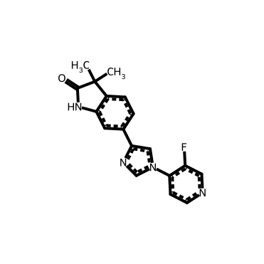 CC1(C)C(=O)Nc2cc(-c3cn(-c4ccncc4F)cn3)ccc21